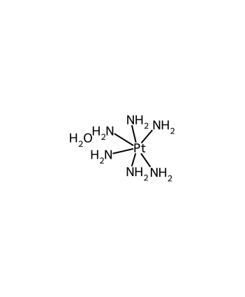 O.[NH2][Pt]([NH2])([NH2])([NH2])([NH2])[NH2]